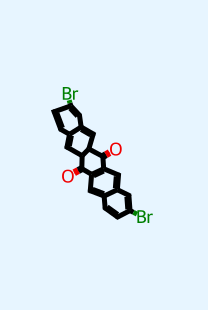 O=C1c2cc3ccc(Br)cc3cc2C(=O)C2C=c3cc(Br)ccc3=CC12